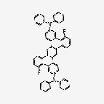 Fc1cccc2c3cc4c(cc3c3ccc(N(c5ccccc5)c5ccccc5)cc3c12)c1cccc(F)c1c1cc(N(c2ccccc2)c2ccccc2)ccc41